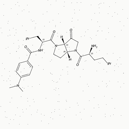 CC(C)CC[C@H](N)C(=O)N1CC(=O)[C@@H]2[C@H]1CCN2C(=O)[C@H](CC(C)C)NC(=O)c1ccc(N(C)C)cc1